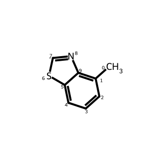 Cc1cccc2s[c]nc12